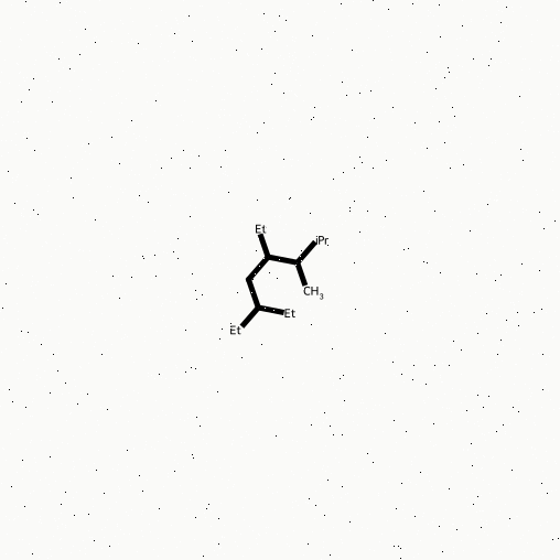 CCC(CC)CC(CC)C(C)C(C)C